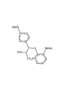 COc1ccc(C(Sc2ccccc2NC(C)=O)C(O)C(=O)O)cc1